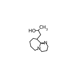 CC(O)CC1CCCCN2CCCN=C12